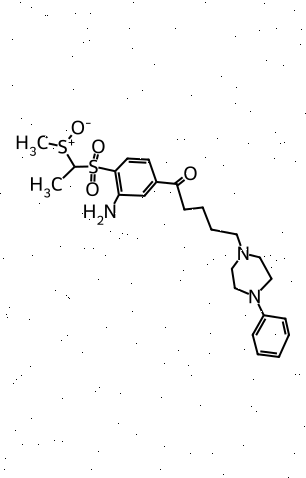 CC([S+](C)[O-])S(=O)(=O)c1ccc(C(=O)CCCCN2CCN(c3ccccc3)CC2)cc1N